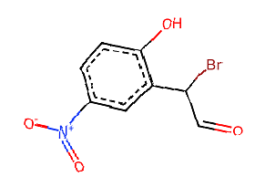 O=CC(Br)c1cc([N+](=O)[O-])ccc1O